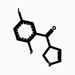 O=C(c1cc(I)ccc1F)C1C=CSC1